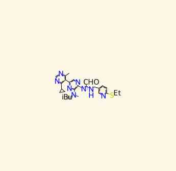 CCSc1ccc(CN/C(C=O)=N/c2ncc(-c3c(C)ncnc3C3CC3)nc2N(C)[C@@H](C)CC)cn1